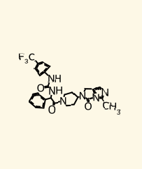 Cc1ncc2n1C(=O)N(C1CCN(C(=O)C(NC(=O)Nc3ccc(C(F)(F)F)cc3)c3ccccc3)CC1)C2